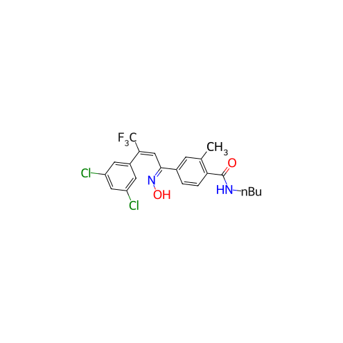 CCCCNC(=O)c1ccc(C(/C=C(\c2cc(Cl)cc(Cl)c2)C(F)(F)F)=N\O)cc1C